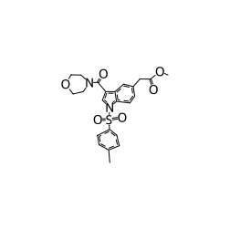 COC(=O)Cc1ccc2c(c1)c(C(=O)N1CCOCC1)cn2S(=O)(=O)c1ccc(C)cc1